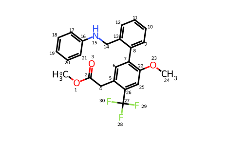 COC(=O)Cc1cc(-c2ccccc2CNc2ccccc2)c(OC)cc1C(F)(F)F